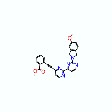 COC(=O)c1ccccc1C#Cc1ccnc(-c2ccnc(N3Cc4ccc(OC)cc4C3)n2)n1